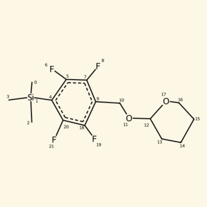 C[Si](C)(C)c1c(F)c(F)c(COC2CCCCO2)c(F)c1F